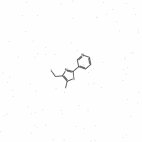 Cc1sc(-c2cccnc2)nc1CI